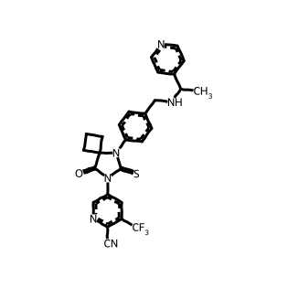 CC(NCc1ccc(N2C(=S)N(c3cnc(C#N)c(C(F)(F)F)c3)C(=O)C23CCC3)cc1)c1ccncc1